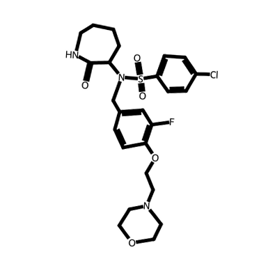 O=C1NCCCCC1N(Cc1ccc(OCCN2CCOCC2)c(F)c1)S(=O)(=O)c1ccc(Cl)cc1